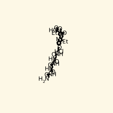 CCc1c2c(nc3ccc(OCCCNC(=O)CNC(=O)CNC(=O)CNC(=O)CNC(=O)CN)cc13)-c1cc3c(c(=O)n1C2)COC(=O)[C@]3(O)CC.Cl